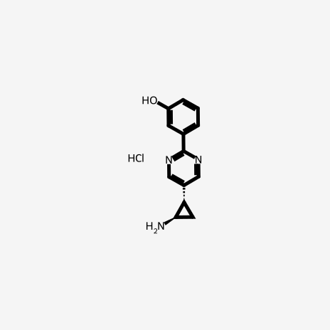 Cl.N[C@@H]1C[C@H]1c1cnc(-c2cccc(O)c2)nc1